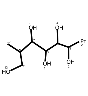 CC(C)C(O)C(O)C(O)C(O)C(C)CO